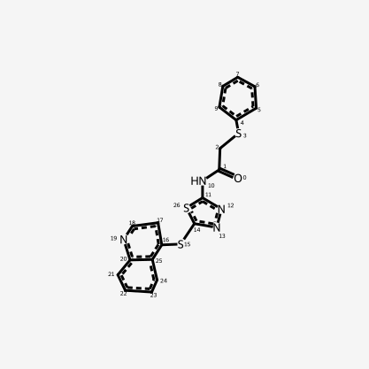 O=C(CSc1ccccc1)Nc1nnc(Sc2ccnc3ccccc23)s1